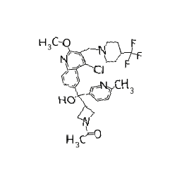 COc1nc2ccc(C(O)(c3ccc(C)nc3)C3CN(C(C)=O)C3)cc2c(Cl)c1CN1CCC(C(F)(F)F)CC1